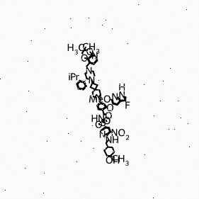 COc1nc2[nH]cc(F)c2cc1Oc1cc(N2CCC3(CC2)CC(N2CCN(Cc4ccnc5c4OCC(C)(C)O5)C[C@H]2c2ccccc2C(C)C)C3)ccc1C(=O)NS(=O)(=O)c1cnc(NCC2CCC(C)(O)CC2)c([N+](=O)[O-])c1